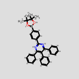 CC1(C)OB(c2ccc(-c3nc(-c4ccccc4)c(-c4ccccc4)c(-c4ccccc4)n3)cc2)OC1(C)C